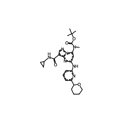 CN(C(=O)OC(C)(C)C)c1cc(Nc2cccc(C3CCCCO3)n2)nc2c(C(=O)NC3CC3)cnn12